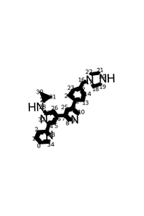 c1ccc(-c2cc(-c3cncc(-c4ccc(CN5CCNCC5)cc4)c3)cc(NC3CC3)n2)nc1